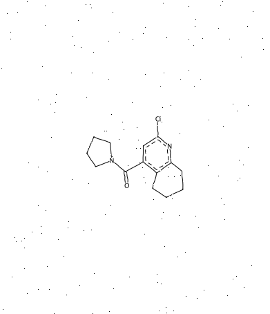 O=C(c1cc(Cl)nc2c1CCCC2)N1CCCC1